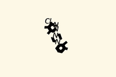 Cc1cccc(N2CCN(c3nnc(Cl)c(C)c3C)CC2)c1C